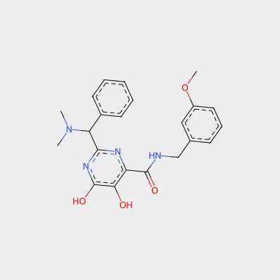 COc1cccc(CNC(=O)c2nc(C(c3ccccc3)N(C)C)nc(O)c2O)c1